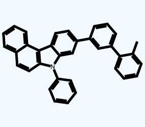 Cc1ccccc1-c1cccc(-c2ccc3c4c5ccccc5ccc4n(-c4ccccc4)c3c2)c1